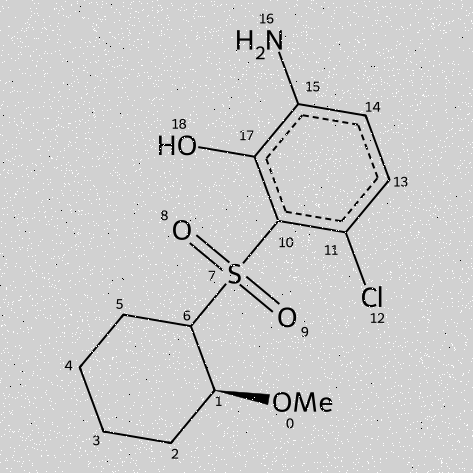 CO[C@H]1CCCCC1S(=O)(=O)c1c(Cl)ccc(N)c1O